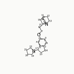 c1cc2c(cc1OCCC1CC3CCN1CC3)C(N1CCCC1)CC2